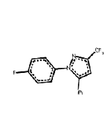 CC(C)c1cc(C(F)(F)F)nn1-c1ccc(F)cc1